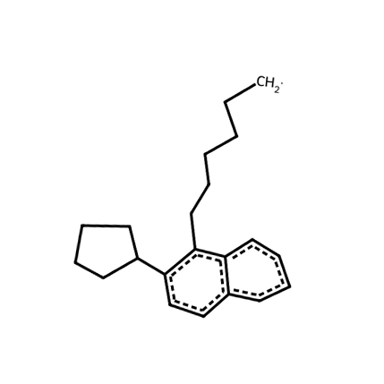 [CH2]CCCCCc1c(C2CCCC2)ccc2ccccc12